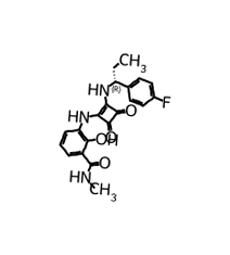 CC[C@@H](Nc1c(Nc2cccc(C(=O)NC)c2O)c(=O)c1=O)c1ccc(F)cc1